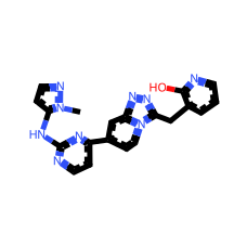 Cn1nccc1Nc1nccc(-c2ccn3c(Cc4cccnc4O)nnc3c2)n1